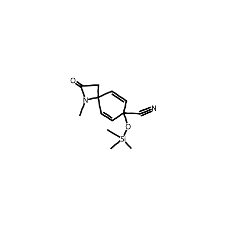 CN1C(=O)CC12C=CC(C#N)(O[Si](C)(C)C)C=C2